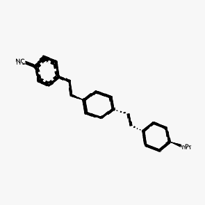 CCC[C@H]1CC[C@H](CC[C@H]2CC[C@H](CCc3ccc(C#N)cc3)CC2)CC1